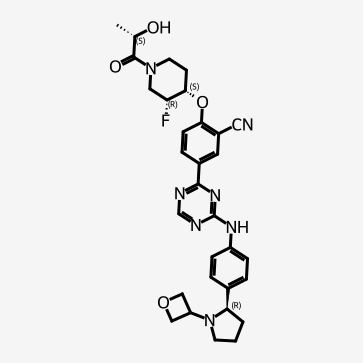 C[C@H](O)C(=O)N1CC[C@H](Oc2ccc(-c3ncnc(Nc4ccc([C@H]5CCCN5C5COC5)cc4)n3)cc2C#N)[C@H](F)C1